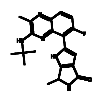 Cc1nc2ccc(F)c(-c3cc4c([nH]3)C(C)NC4=O)c2nc1NC(C)(C)C